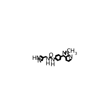 Cn1nc(-c2ccc(NC(=O)NCc3cn[nH]c3)cc2)c2cccnc21